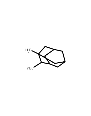 CCCCC1C2CC3CC(C2)CC1(P)C3